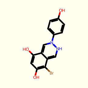 Oc1ccc(N2C=c3c(O)cc(O)c(Br)c3=CN2)cc1